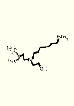 CN(C)CCN(CCO)CCCCCCN